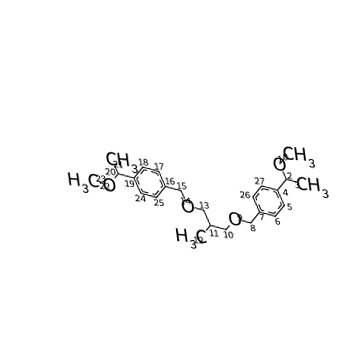 COC(C)c1ccc(COCC(C)COCc2ccc(C(C)OC)cc2)cc1